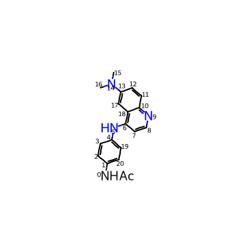 CC(=O)Nc1ccc(Nc2ccnc3ccc(N(C)C)cc23)cc1